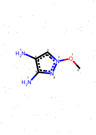 COn1cc(N)c(N)n1